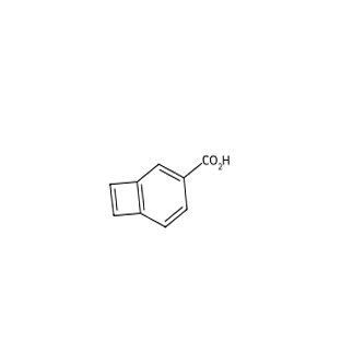 O=C(O)c1ccc2c(c1)C=C2